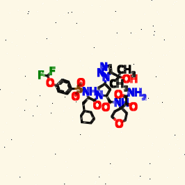 CC(C)(O)c1cnnn1[C@H]1C[C@@H](C(=O)NC2(C(=O)C(N)=O)CCOCC2)N(C(=O)[C@@H](CC2CCCCC2)NS(=O)(=O)c2ccc(OC(F)F)cc2)C1